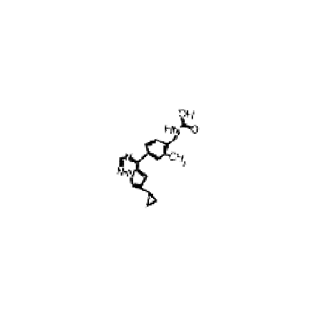 Cc1cc(-c2ncnn3cc(C4CC4)cc23)ccc1CNC(=O)O